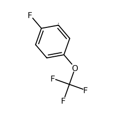 Fc1[c]cc(OC(F)(F)F)cc1